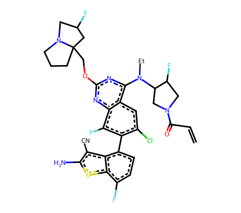 C=CC(=O)N1CC(F)C(N(CC)c2nc(OCC34CCCN3CC(F)C4)nc3c(F)c(-c4ccc(F)c5sc(N)c(C#N)c45)c(Cl)cc23)C1